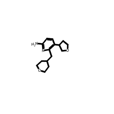 Nc1ccc(C2CCOC2)c(CC2CCOCC2)n1